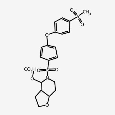 CS(=O)(=O)c1ccc(Oc2ccc(S(=O)(=O)N3CCC4OCCC4C3OC(=O)O)cc2)cc1